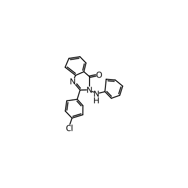 O=c1c2ccccc2nc(-c2ccc(Cl)cc2)n1Nc1ccccc1